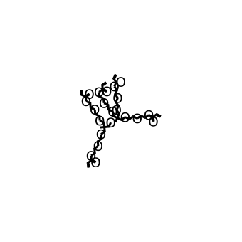 C=CC(=O)OCCOCCOCC(C)(COCCOCCOC(=O)C=C)COCC(COCCOCCOC(=O)C=C)(COCCOCCOC(=O)C=C)COCCOCCOC(=O)C=C